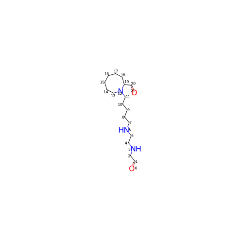 O=CCNCCNCCCCCN1CCCCCCC1C=O